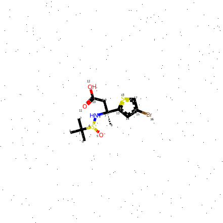 CC(C)(C)[S+]([O-])N[C@@](C)(CC(=O)O)c1cc(Br)cs1